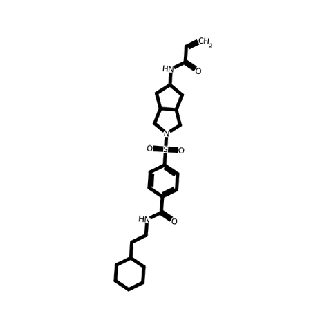 C=CC(=O)NC1CC2CN(S(=O)(=O)c3ccc(C(=O)NCCC4CCCCC4)cc3)CC2C1